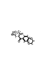 CC(C)(C)C[C@H](NC(=O)O)C(=O)c1ccc2c(c1)OCCO2